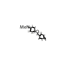 CNc1ccc(OCc2ccc(I)cc2)cc1